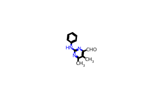 Cc1nc(Nc2ccccc2)nc(C=O)c1C